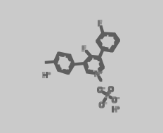 Cc1ccc(-c2c[n+](C)cc(-c3cccc(F)c3)c2F)cc1.O=P([O-])([O-])[O-].[H+].[H+]